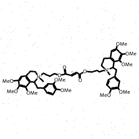 COc1ccc(CC2c3c(cc(OC)c(OC)c3OC)CC[N+]2(C)CCCOC(=O)/C=C/C(=O)OCCC[N+]2(C)CCc3cc(OC)c(OC)c(OC)c3C2Cc2ccc(OC)c(OC)c2)cc1OC